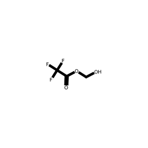 O=C(OCO)C(F)(F)F